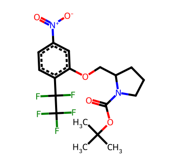 CC(C)(C)OC(=O)N1CCCC1COc1cc([N+](=O)[O-])ccc1C(F)(F)C(F)(F)F